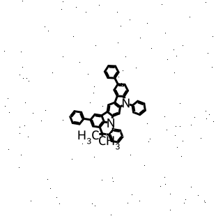 CC1(C)c2ccccc2-n2c3cc4c(cc3c3cc(-c5ccccc5)cc1c32)c1cc(-c2ccccc2)ccc1n4-c1ccccc1